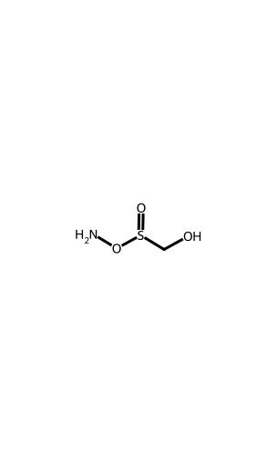 NOS(=O)CO